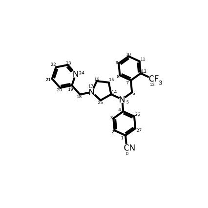 N#Cc1ccc(N(Cc2ccccc2C(F)(F)F)C2CCN(Cc3ccccn3)C2)cc1